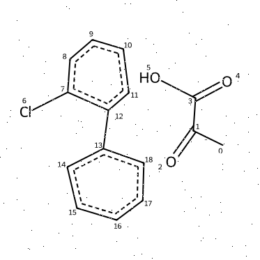 CC(=O)C(=O)O.Clc1ccccc1-c1ccccc1